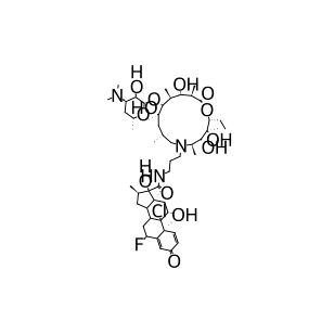 CC[C@H]1OC(=O)[C@H](C)[C@@H](O)[C@H](C)[C@@H](O[C@@H]2O[C@H](C)C[C@@H](N(C)C)[C@H]2O)[C@](C)(O)C[C@@H](C)CN(CCCNC(=O)[C@@]2(O)[C@H](C)CC3C4C[C@H](F)C5=CC(=O)C=C[C@]5(C)[C@@]4(Cl)[C@@H](O)C[C@@]32C)[C@H](C)[C@@H](O)[C@]1(C)O